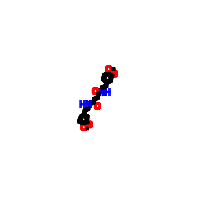 O=C(CCC(=O)NCCc1ccc2c(c1)OCO2)NCCc1ccc2c(c1)OCO2